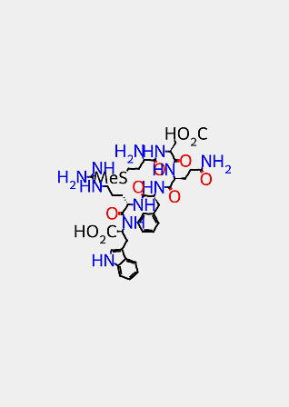 CSCC[C@H](N)C(=O)N[C@@H](CC(=O)O)C(=O)N[C@@H](CCC(N)=O)C(=O)N[C@@H](Cc1ccccc1)C(=O)N[C@@H](CCCNC(=N)N)C(=O)N[C@@H](Cc1c[nH]c2ccccc12)C(=O)O